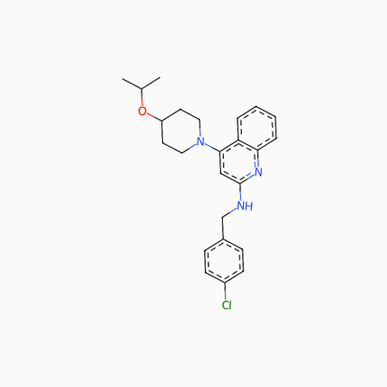 CC(C)OC1CCN(c2cc(NCc3ccc(Cl)cc3)nc3ccccc23)CC1